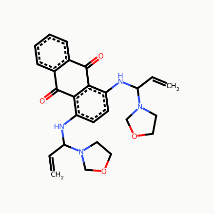 C=CC(Nc1ccc(NC(C=C)N2CCOC2)c2c1C(=O)c1ccccc1C2=O)N1CCOC1